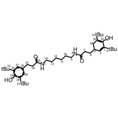 CC(C)(C)C1=CC(CCC(=O)NCCCCCCNC(=O)CCc2cc(C(C)(C)C)c(O)c(C(C)(C)C)c2)CC(C(C)(C)C)=C1O